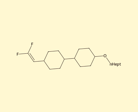 CCCCCCCOC1CCC(C2CCC(C=C(F)F)CC2)CC1